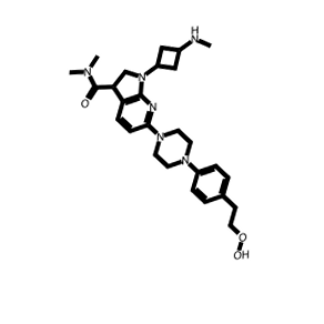 CNC1CC(N2CC(C(=O)N(C)C)c3ccc(N4CCN(c5ccc(CCOO)cc5)CC4)nc32)C1